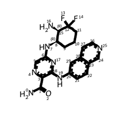 NC(=O)c1ncc(N[C@@H]2CCCC(F)(F)[C@@H]2N)nc1Nc1ccc2cnccc2c1